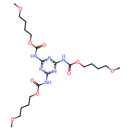 COCCCCOC(=O)Nc1nc(NC(=O)OCCCCOC)nc(NC(=O)OCCCCOC)n1